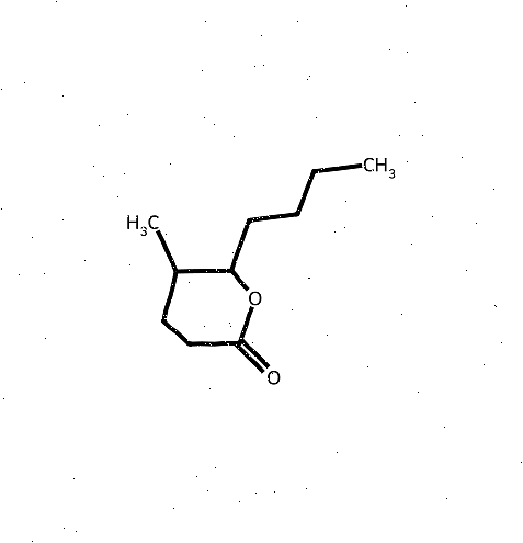 CCCCC1OC(=O)CCC1C